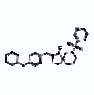 O=C1N(Cc2ccc(Oc3ccccc3)cc2)CCC12CCCN(S(=O)(=O)c1cccnc1)C2